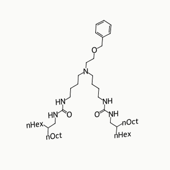 CCCCCCCCC(CCCCCC)CNC(=O)NCCCCN(CCCCNC(=O)NCC(CCCCCC)CCCCCCCC)CCOCc1ccccc1